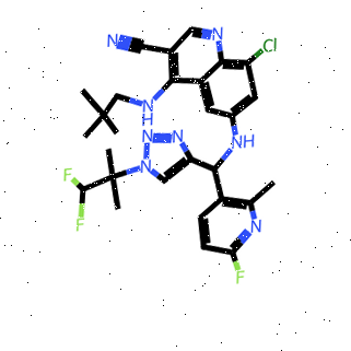 Cc1nc(F)ccc1C(Nc1cc(Cl)c2ncc(C#N)c(NCC(C)(C)C)c2c1)c1cn(C(C)(C)C(F)F)nn1